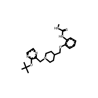 CNC(=S)Nc1ccccc1OCC1CCN(Cc2nccnc2OC(C)(C)C)CC1